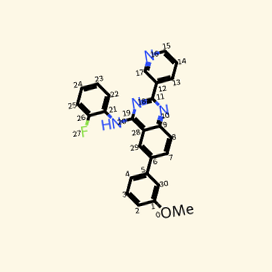 COc1cccc(-c2ccc3nc(-c4cccnc4)nc(Nc4ccccc4F)c3c2)c1